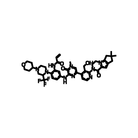 C=CC(=O)Nc1cc(Nc2nc(-c3ccnc(N4CCn5c(cc6c5CC(C)(C)C6)C4=O)c3CO)cn(C)c2=O)ccc1N1CCN(C2CCOCC2)CC1C(F)(F)F